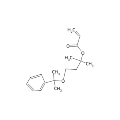 C=CC(=O)OC(C)(C)CCOC(C)(C)c1ccccc1